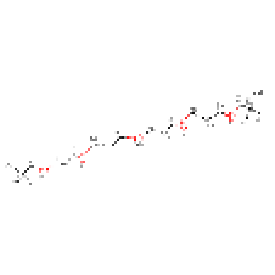 CC(C)(C)COCCCOCCCOCCCOCCCOCC(C)(C)C